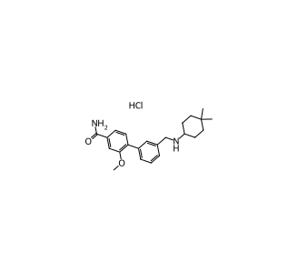 COc1cc(C(N)=O)ccc1-c1cccc(CNC2CCC(C)(C)CC2)c1.Cl